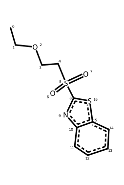 CCOCCS(=O)(=O)c1nc2ccccc2s1